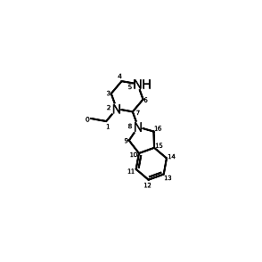 CCN1CCNCC1N1CC2=CC=CCC2C1